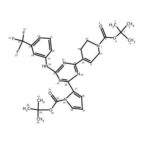 CC(C)(C)OC(=O)N1CC=C(c2nc(Nc3cccc(C(F)(F)F)c3)nc(-c3cccn3C(=O)OC(C)(C)C)n2)CC1